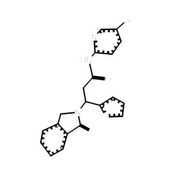 O=C(CC(c1cccs1)N1Cc2ccccc2C1=O)Nc1ccc(Br)cn1